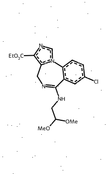 CCOC(=O)c1ncn2c1CN=C(NCC(OC)OC)c1cc(Cl)ccc1-2